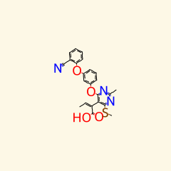 CC=C(C(=O)O)c1c(Oc2cccc(Oc3ccccc3C#N)c2)nc(C)nc1SC